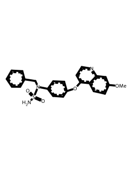 COc1ccc2c(Oc3ccc(N(Cc4ccccc4)S(N)(=O)=O)cc3)ccnc2c1